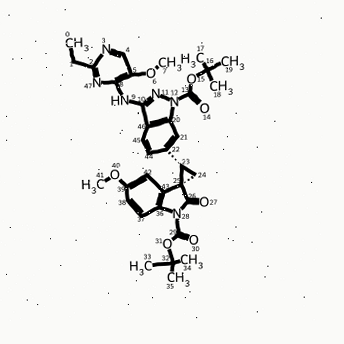 CCc1ncc(OC)c(Nc2nn(C(=O)OC(C)(C)C)c3cc([C@@H]4C[C@@]45C(=O)N(C(=O)OC(C)(C)C)c4ccc(OC)cc45)ccc23)n1